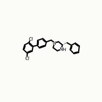 Clc1ccc(Cl)c(-c2ccc(CN3CCN[C@@H](Cc4ccccc4)C3)cc2)c1